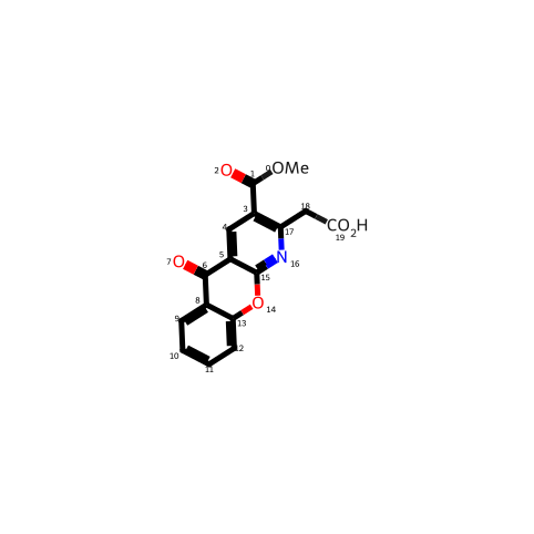 COC(=O)c1cc2c(=O)c3ccccc3oc2nc1CC(=O)O